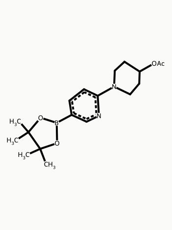 CC(=O)OC1CCN(c2ccc(B3OC(C)(C)C(C)(C)O3)cn2)CC1